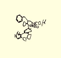 Cn1ncc(Cl)c1-c1cc(NC(=O)C(Cc2ccccc2)CN(C(=O)O)C(C)(C)C)sc1Cl